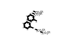 CCOC(C)=O.CCOC(C)=O.CCOC(C)=O.CCOC(C)=O.Cc1ccccc1.Cc1ccccc1